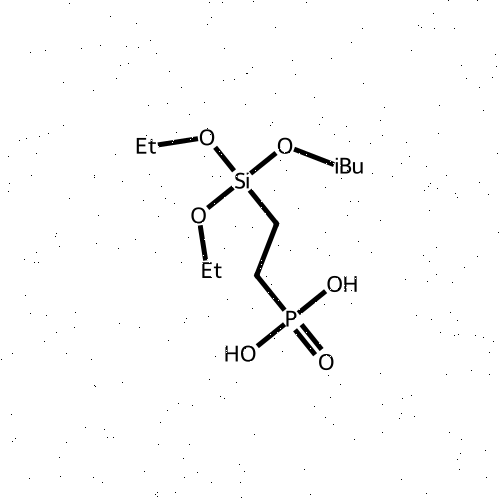 CCO[Si](CCP(=O)(O)O)(OCC)OC(C)CC